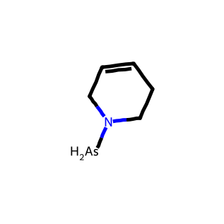 [AsH2]N1CC=CCC1